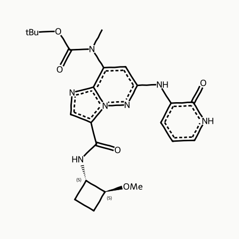 CO[C@H]1CC[C@@H]1NC(=O)c1cnc2c(N(C)C(=O)OC(C)(C)C)cc(Nc3ccc[nH]c3=O)nn12